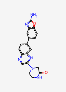 Nc1nc2cc(-c3ccc4ncc(N5CCNC(=O)C5)nc4c3)ccc2o1